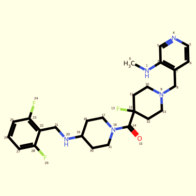 CNc1cnccc1CN1CCC(F)(C(=O)N2CCC(NCc3c(F)cccc3F)CC2)CC1